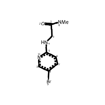 CNC(=O)CNc1ccc(Br)cn1